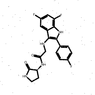 O=C(CNc1c(-c2ccc(F)cc2)[nH]c2c(F)cc(F)cc12)N[C@H]1CCNC1=O